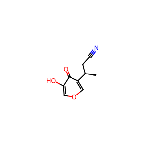 C[C@H](CC#N)c1cocc(O)c1=O